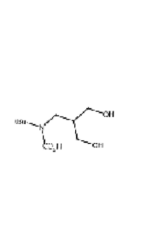 CC(C)(C)N(CC(CO)CO)C(=O)O